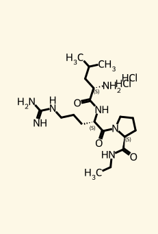 CCNC(=O)[C@@H]1CCCN1C(=O)[C@H](CCCNC(=N)N)NC(=O)[C@@H](N)CC(C)C.Cl.Cl